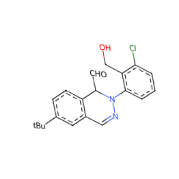 CC(C)(C)c1ccc2c(c1)C=NN(c1cccc(Cl)c1CO)C2C=O